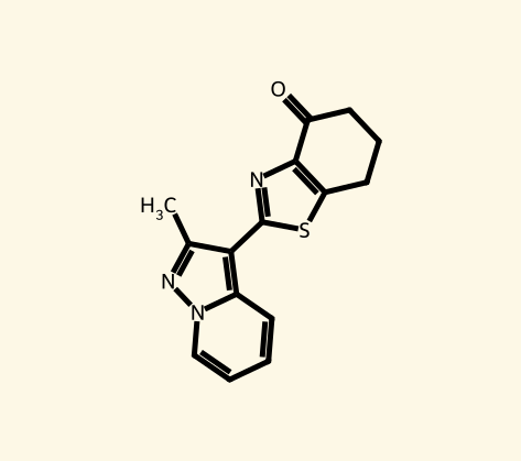 Cc1nn2ccccc2c1-c1nc2c(s1)CCCC2=O